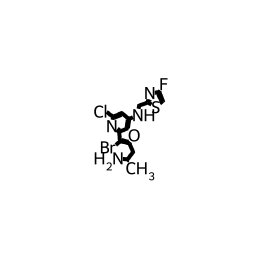 C[C@H](N)Cc1oc2c(NCc3nc(F)cs3)cc(Cl)nc2c1Br